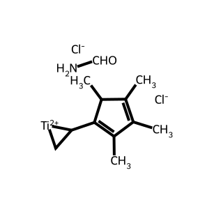 CC1=C(C)C(C)C([CH]2[CH2][Ti+2]2)=C1C.NC=O.[Cl-].[Cl-]